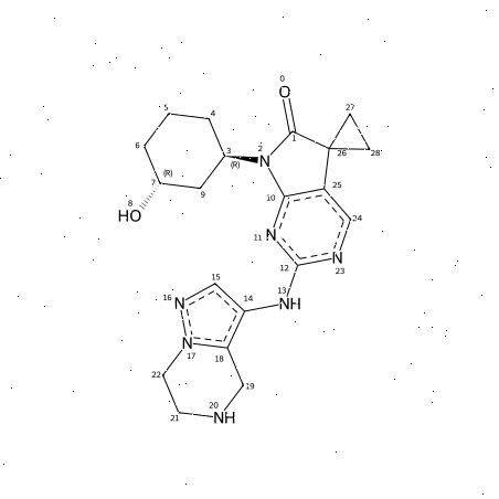 O=C1N([C@@H]2CCC[C@@H](O)C2)c2nc(Nc3cnn4c3CNCC4)ncc2C12CC2